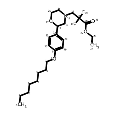 CCCCCCCCOc1ccc(C2CN(CC(F)(F)C(=O)OCC)CCO2)cc1